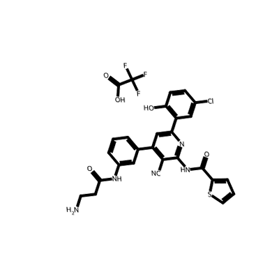 N#Cc1c(-c2cccc(NC(=O)CCN)c2)cc(-c2cc(Cl)ccc2O)nc1NC(=O)c1cccs1.O=C(O)C(F)(F)F